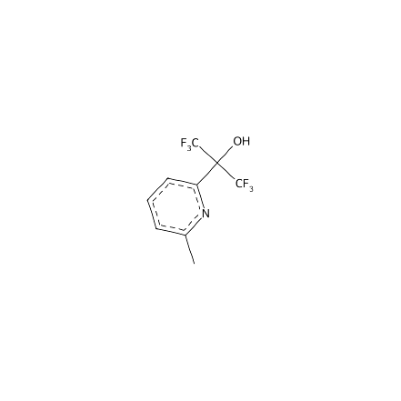 Cc1cccc(C(O)(C(F)(F)F)C(F)(F)F)n1